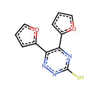 Sc1nnc(-c2ccco2)c(-c2ccco2)n1